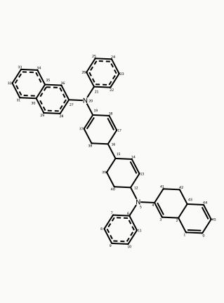 C1=CC2C=C(N(c3ccccc3)C3C=CC(C4C=CC(N(c5ccccc5)c5ccc6ccccc6c5)=CC4)CC3)CCC2C=C1